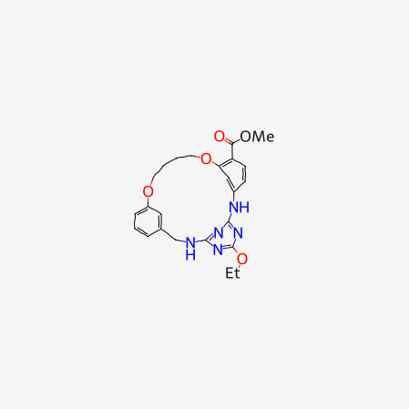 CCOc1nc2nc(n1)Nc1ccc(C(=O)OC)c(c1)OCCCCOc1cccc(c1)CN2